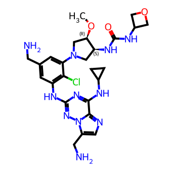 CO[C@@H]1CN(c2cc(CN)cc(Nc3nc(NC4CC4)c4ncc(CN)n4n3)c2Cl)C[C@@H]1NC(=O)NC1COC1